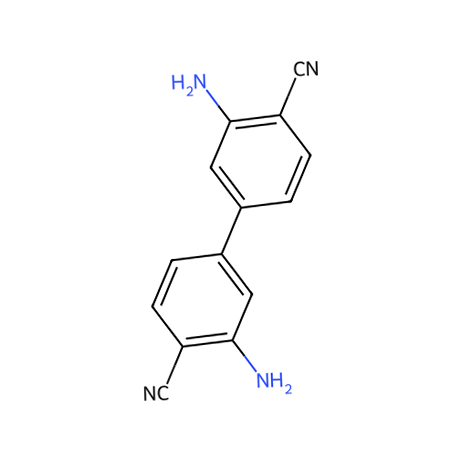 N#Cc1ccc(-c2ccc(C#N)c(N)c2)cc1N